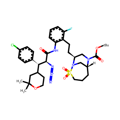 CC(C)(C)OC(=O)N1C[C@H](CCc2c(F)cccc2NC(=O)[C@@H](N=[N+]=[N-])[C@@H](c2ccc(Cl)cc2)C2CCOC(C)(C)C2)N2C[C@H]1CCCS2(=O)=O